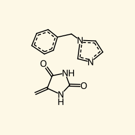 C=C1NC(=O)NC1=O.c1ccc(Cn2ccnc2)cc1